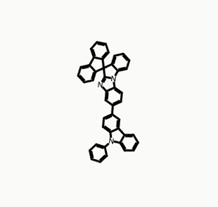 c1ccc(-n2c3ccccc3c3cc(-c4ccc5c(c4)nc4n5-c5ccccc5C45c4ccccc4-c4ccccc45)ccc32)cc1